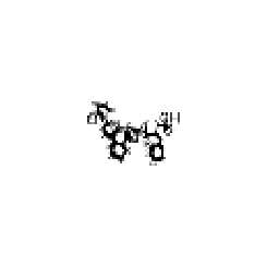 CN(C(=O)[C@@H](CC(=O)O)Cc1ccccc1)c1nc(-c2ccccc2-c2ccc(N3CCCC3=O)nc2)c(F)s1